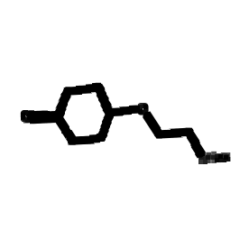 CCCCCCCCOC1CCC(=O)CC1